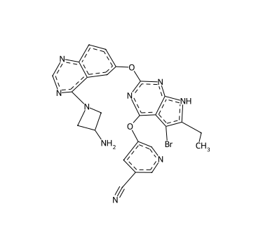 CCc1[nH]c2nc(Oc3ccc4ncnc(N5CC(N)C5)c4c3)nc(Oc3cncc(C#N)c3)c2c1Br